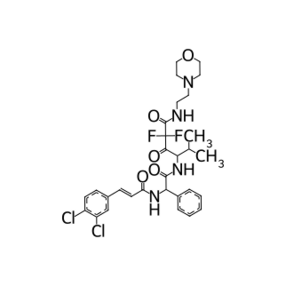 CC(C)C(NC(=O)C(NC(=O)/C=C/c1ccc(Cl)c(Cl)c1)c1ccccc1)C(=O)C(F)(F)C(=O)NCCN1CCOCC1